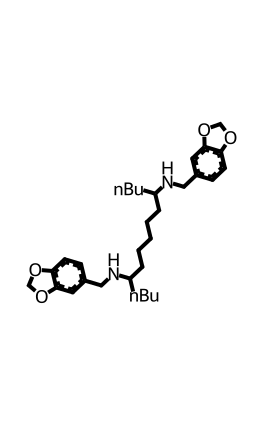 CCCCC(CCCCCC(CCCC)NCc1ccc2c(c1)OCO2)NCc1ccc2c(c1)OCO2